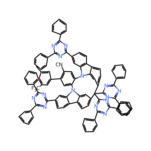 [C-]#[N+]c1cc2c(cc1-c1cc(C)cc(C(F)(F)F)c1)-n1c3cc(-c4nc(-c5ccccc5)nc(-c5ccccc5)n4)ccc3c3ccc(cc31)C(c1nc(-c3ccccc3)nc(-c3ccccc3)n1)(c1nc(-c3ccccc3)nc(-c3ccccc3)n1)c1ccc3c4ccc(-c5nc(-c6ccccc6)nc(-c6ccccc6)n5)cc4n-2c3c1